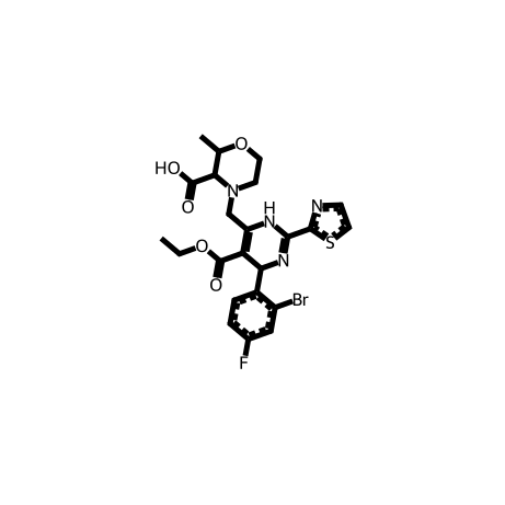 CCOC(=O)C1=C(CN2CCOC(C)C2C(=O)O)NC(c2nccs2)=NC1c1ccc(F)cc1Br